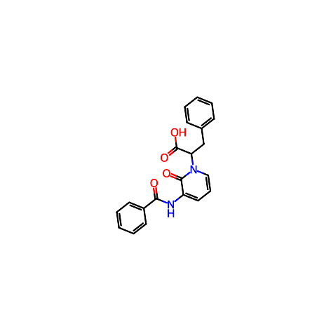 O=C(Nc1cccn(C(Cc2ccccc2)C(=O)O)c1=O)c1ccccc1